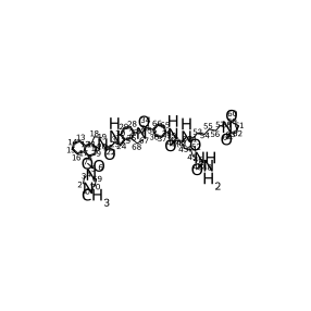 CN1CCN(C(=O)Oc2cc3c(c4ccccc24)CCN3C(=O)c2cc3c4c(ccc3[nH]2)N(C(=O)c2ccc(NC(=O)[C@H](CCCNC(N)=O)NC(=O)CCCCCN3C(=O)C=CC3=O)cc2)CC4)CC1